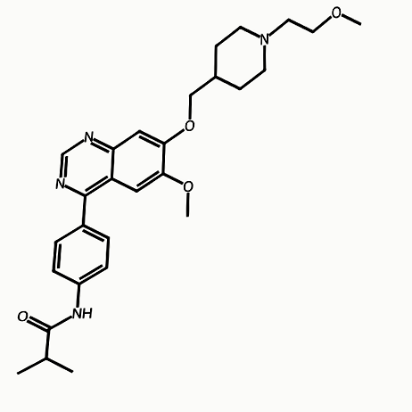 COCCN1CCC(COc2cc3ncnc(-c4ccc(NC(=O)C(C)C)cc4)c3cc2OC)CC1